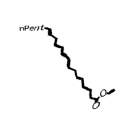 C=COC(=O)CCCC=CCC=CCC=CCC=CCCCCC